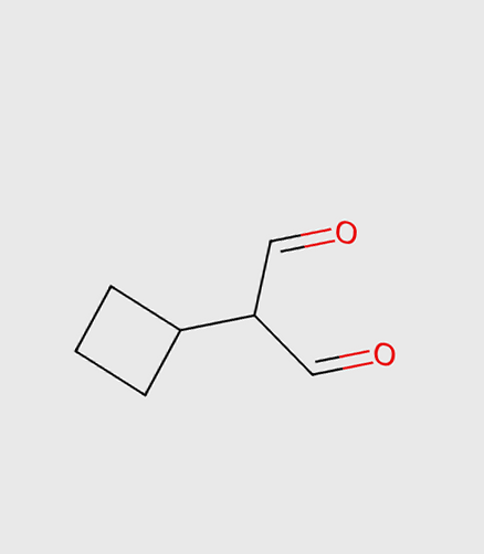 O=CC(C=O)C1CCC1